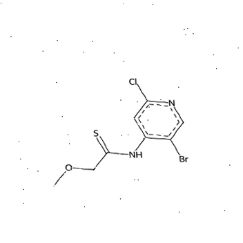 COCC(=S)Nc1cc(Cl)ncc1Br